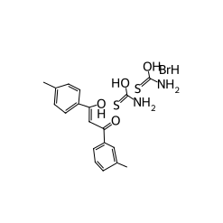 Br.Cc1ccc(C(O)=CC(=O)c2cccc(C)c2)cc1.NC(O)=S.NC(O)=S